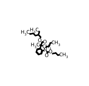 CCCCOC(=O)N(CCCC)c1ccccc1C(C)(C)C(=O)OCC(CC)CCCC